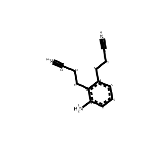 N#CCCc1cccc(N)c1CCC#N